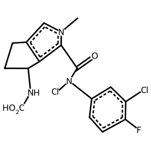 Cn1cc2c(c1C(=O)N(Cl)c1ccc(F)c(Cl)c1)C(NC(=O)O)CC2